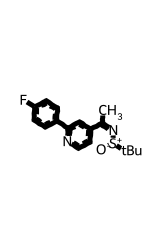 C/C(=N/[S+]([O-])C(C)(C)C)c1ccnc(-c2ccc(F)cc2)c1